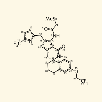 CSCC(=O)Nc1c2c(nn1Cc1nc(C(F)(F)F)cs1)C[C@]1(CCCc3cc(OCC(F)(F)F)ccc31)NC2=O